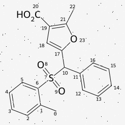 Cc1ccccc1S(=O)(=O)C(c1ccccc1)c1cc(C(=O)O)c(C)o1